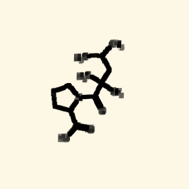 CC(C)CC(C)(C)C(=O)N1CCCC1C(=O)O